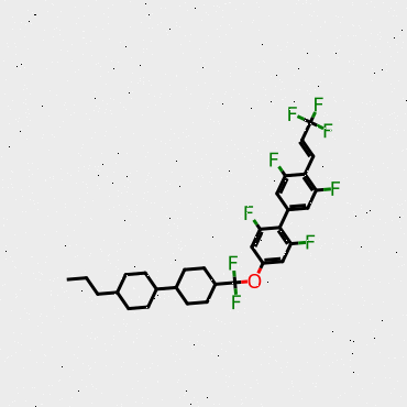 CCCC1CCC(C2CCC(C(F)(F)Oc3cc(F)c(-c4cc(F)c(/C=C/C(F)(F)F)c(F)c4)c(F)c3)CC2)CC1